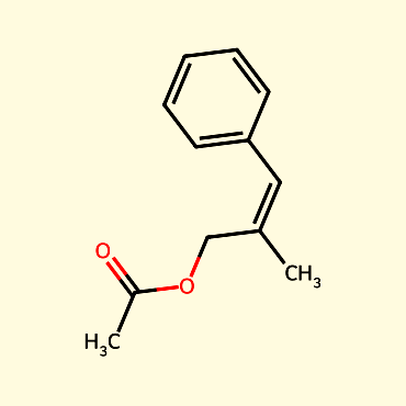 CC(=O)OCC(C)=Cc1ccccc1